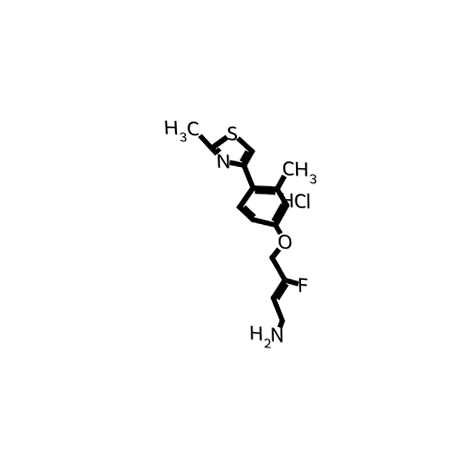 Cc1nc(-c2ccc(OCC(F)=CCN)cc2C)cs1.Cl